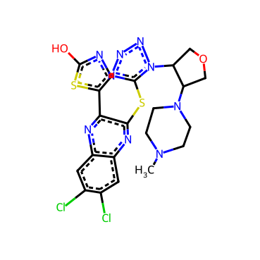 CN1CCN(C2COCC2n2nnnc2Sc2nc3cc(Cl)c(Cl)cc3nc2-c2cnc(O)s2)CC1